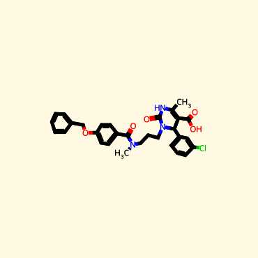 CC1=C(C(=O)O)C(c2cccc(Cl)c2)N(CCCN(C)C(=O)c2ccc(OCc3ccccc3)cc2)C(=O)N1